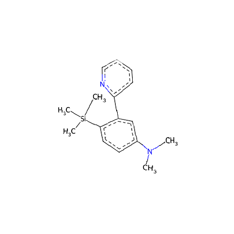 CN(C)c1ccc([Si](C)(C)C)c(-c2ccccn2)c1